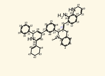 CN1c2ccccc2C/C(=C\c2ccc3c(c2N)NCC=C3)C1c1cccc(C2=CC(c3ccccc3)NC(C3=CCCCC3)=C2)c1